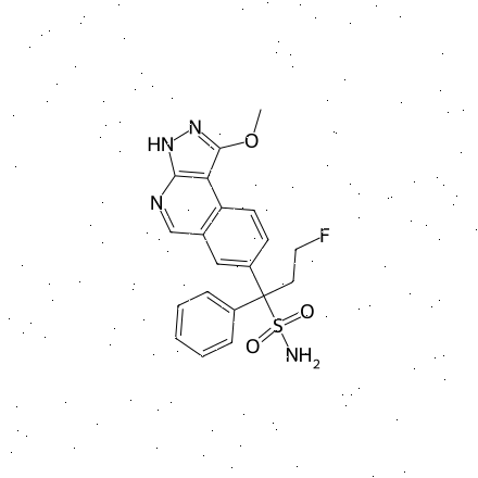 COc1n[nH]c2ncc3cc(C(CCF)(c4ccccc4)S(N)(=O)=O)ccc3c12